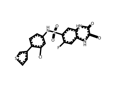 O=c1[nH]c2cc(F)c(S(=O)(=O)Nc3ccc(-c4ccsc4)c(Cl)c3)cc2[nH]c1=O